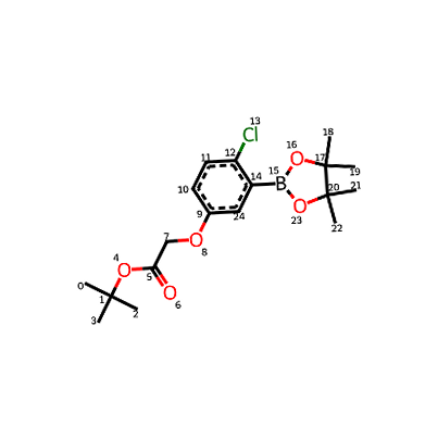 CC(C)(C)OC(=O)COc1ccc(Cl)c(B2OC(C)(C)C(C)(C)O2)c1